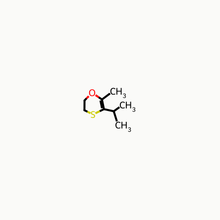 CC1=C(C(C)C)SCCO1